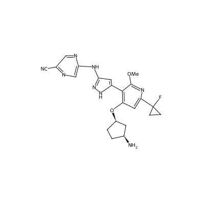 COc1nc(C2(F)CC2)cc(O[C@@H]2CC[C@H](N)C2)c1-c1cc(Nc2cnc(C#N)cn2)n[nH]1